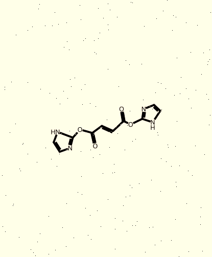 O=C(/C=C/C(=O)Oc1ncc[nH]1)Oc1ncc[nH]1